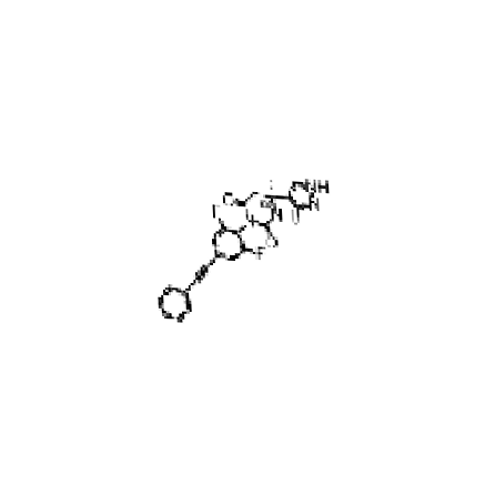 Cc1n[nH]cc1[C@]1(C)CC(=O)N(c2c(F)cc(C#Cc3ccccc3)cc2F)C(=O)N1